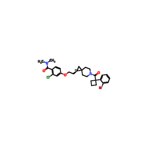 CN(C)C(=O)c1ccc(OCC[C@H]2CC23CCN(C(=O)C2(c4ccccc4Br)CCC2)CC3)cc1Cl